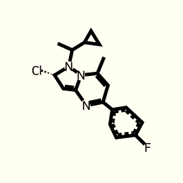 CC1=CC(c2ccc(F)cc2)=NC2=C[C@H](Cl)N(C(C)C3CC3)N12